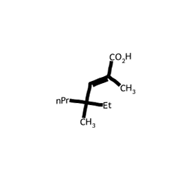 CCCC(C)(C=C(C)C(=O)O)CC